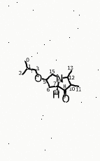 CC(C)CO[C@@H]1C[C@H]2C(=O)C(C)C(C)N2C1